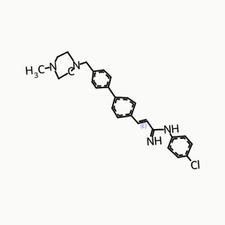 CN1CCN(Cc2ccc(-c3ccc(/C=C/C(=N)Nc4ccc(Cl)cc4)cc3)cc2)CC1